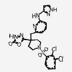 O=c1[nH]nc(C2(Cc3cccc(Nc4cc[nH]n4)n3)CCN(S(=O)(=O)c3cccc(Cl)c3Cl)CC2)o1